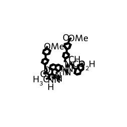 COC(=O)c1ccc(-c2ccc(CN3C(C)=C(C(=O)O)C(c4cccc5ccccc45)n4nnnc43)cc2)cc1.COc1ccc(-c2ccc(COC(=O)C3=C(C)Nc4nnnn4C3c3cccc4ccccc34)cc2)cc1